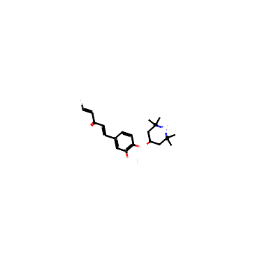 CC(C)(C)/C=C/C(=O)/C=C/c1ccc(OC2CC(C)(C)N(O)C(C)(C)C2)c(O)c1